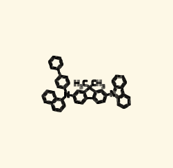 CC1(C)c2cc(N(c3ccc(-c4ccccc4)cc3)c3cccc4ccccc34)ccc2-c2ccc(-n3c4ccccc4c4ccccc43)cc21